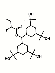 CCC(I)C(=O)OC(C1CC(C(C)(C)O)CC(C(C)(C)O)C1)C1CC(C(C)(C)O)CC(C(C)(C)O)C1